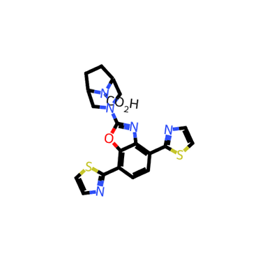 O=C(O)N1C2CCC1CN(c1nc3c(-c4nccs4)ccc(-c4nccs4)c3o1)C2